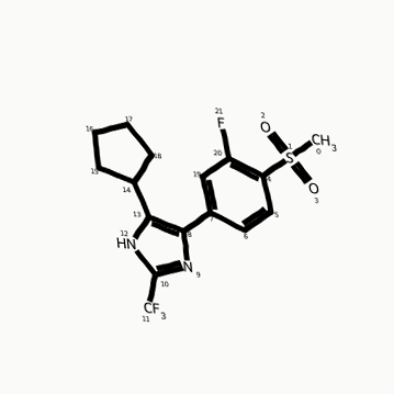 CS(=O)(=O)c1ccc(-c2nc(C(F)(F)F)[nH]c2C2CCCC2)cc1F